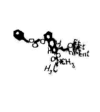 CCCCC[C@@H](CC[C@@H]1[C@H]2Cc3cccc(OCC(=O)OCc4ccccc4)c3C[C@H]2C[C@H]1OC(=O)N(C)C)O[Si](CC)(CC)CC